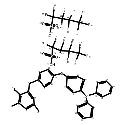 Cc1cc(C)c(I)c(Cc2ccc(Sc3ccc([S+](c4ccccc4)c4ccccc4)cc3)cc2)c1.O=S(=O)(O)C(F)(F)C(F)(F)C(F)(F)C(F)(F)F.O=S(=O)([O-])C(F)(F)C(F)(F)C(F)(F)C(F)(F)F